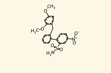 COc1ccc(Cc2ccccc2-c2ccc([N+](=O)[O-])cc2S(N)(=O)=O)c(OC)c1